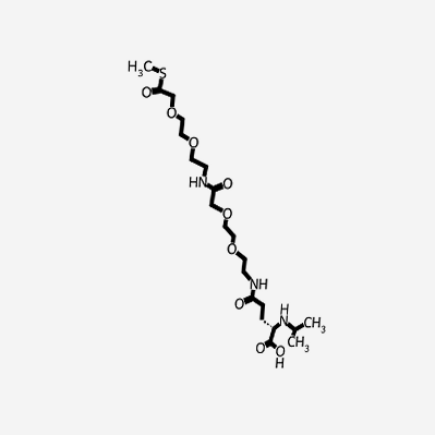 CSC(=O)COCCOCCNC(=O)COCCOCCNC(=O)CC[C@H](NC(C)C)C(=O)O